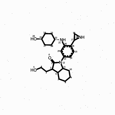 O=C1C(CCO)C2CCCCC2N1c1ccc(C2CN2)c(N[C@H]2CC[C@H](O)CC2)c1